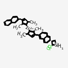 C1C[SiH2]C1.CC1=[C]([Zr+2][C]2=C(C)C(c3ccc4ccccc4c3)=CC2C)C(C)C=C1c1ccc2ccccc2c1.[Cl-].[Cl-]